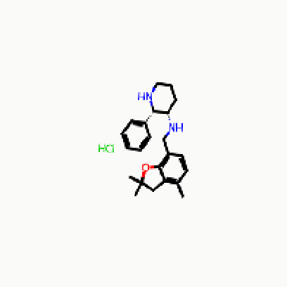 Cc1ccc(CN[C@H]2CCCN[C@H]2c2ccccc2)c2c1CC(C)(C)O2.Cl